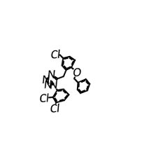 Clc1ccc(OCc2ccccc2)c(Cc2nnnn2-c2cccc(Cl)c2Cl)c1